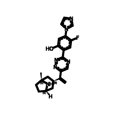 C=C(c1cnc(-c2cc(F)c(-n3ccnc3)cc2O)nn1)[C@@H]1C[C@H]2CC[C@@](C)(C1)N2